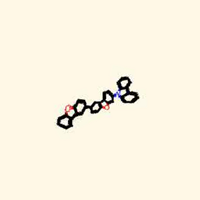 C1=CC2Oc3ccccc3C2C=C1c1ccc2oc3cc(-n4c5ccccc5c5ccccc54)ccc3c2c1